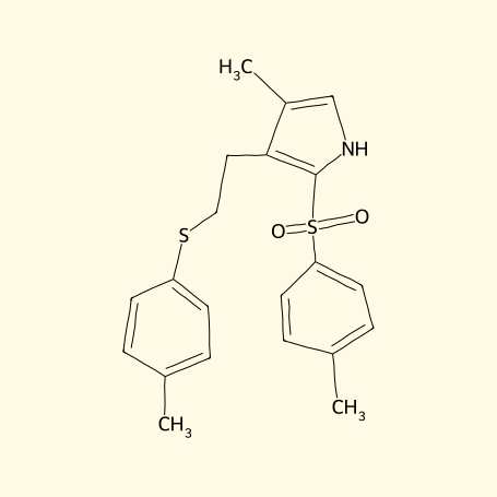 Cc1ccc(SCCc2c(C)c[nH]c2S(=O)(=O)c2ccc(C)cc2)cc1